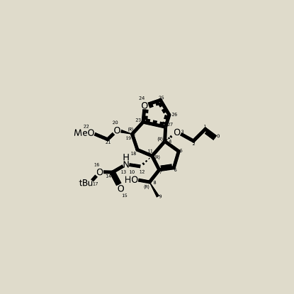 C=CCO[C@]12CC=C([C@@H](C)O)[C@@]1(CNC(=O)OC(C)(C)C)C[C@@H](OCOC)c1occc12